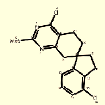 CSc1nc(Cl)c2c(n1)CC1(CCc3c(Cl)cccc31)CC2